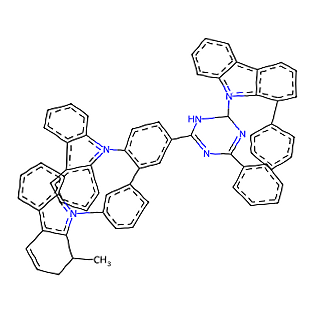 CC1CC=Cc2c1n(-c1cccc(-c3cc(C4=NC(c5ccccc5)=NC(n5c6ccccc6c6cccc(-c7ccccc7)c65)N4)ccc3-n3c4ccccc4c4ccccc43)c1)c1ccccc21